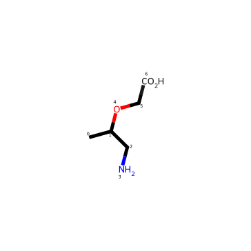 CC(CN)OCC(=O)O